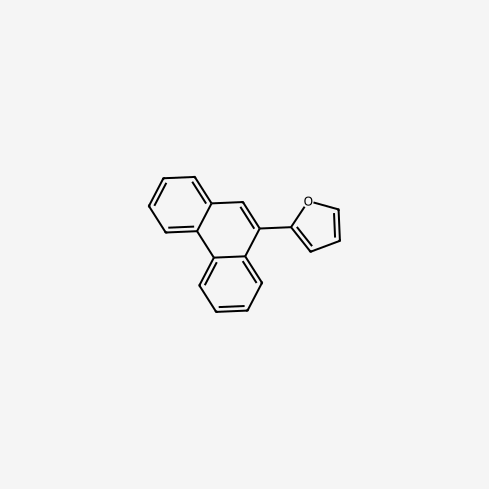 c1coc(-c2cc3ccccc3c3ccccc23)c1